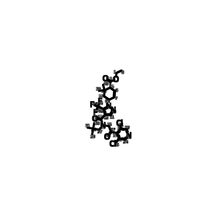 CCOC(=O)[C@H]1C=C[C@H](n2ncc(C(=O)N(CC(=O)c3c(Cl)cncc3Cl)CC(C)(C)C)c2C(F)(F)F)CC1(C)C